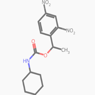 CC(OC(=O)NC1CCCCC1)c1ccc([N+](=O)[O-])cc1[N+](=O)[O-]